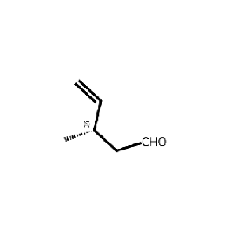 C=C[C@@H](C)CC=O